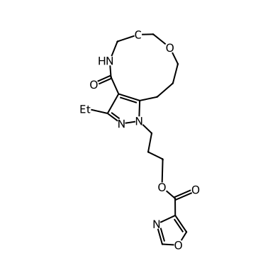 CCc1nn(CCCOC(=O)c2cocn2)c2c1C(=O)NCCCOCCC2